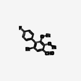 CCOc1c(C=O)cc(CC)c(-c2ccc(F)cc2)c1OCC